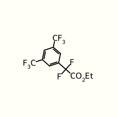 CCOC(=O)C(F)(F)c1cc(C(F)(F)F)cc(C(F)(F)F)c1